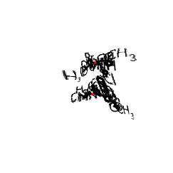 COC(=O)C(=O)c1ccc(-c2cc(NCc3ccc(Cl)s3)n(C(=O)C(C)(C)C)n2)n(CC(=O)c2ccccc2)c1=O.COC(=O)Cn1cc(Br)cc(-c2nn(C(=O)c3ccccc3OC)c(NCc3ccc(Cl)s3)c2F)c1=O